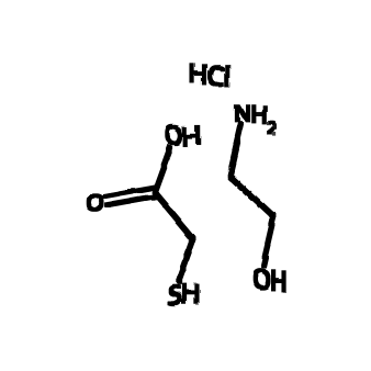 Cl.NCCO.O=C(O)CS